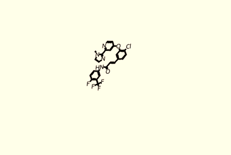 CN1CCN=C1c1cc(Oc2cc(C=CC(=O)Nc3ccc(F)c(C(F)(F)F)c3)ccc2Cl)ccn1